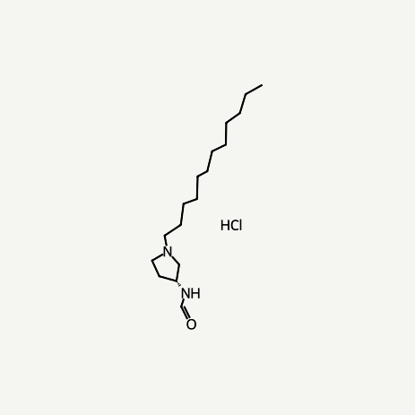 CCCCCCCCCCCCN1CC[C@@H](NC=O)C1.Cl